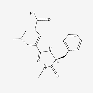 CNC(=O)[C@H](Cc1ccccc1)NC(=O)C(=CCC(=O)O)CC(C)C